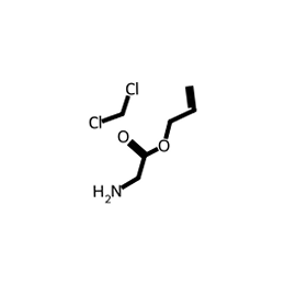 C=CCOC(=O)CN.ClCCl